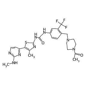 CNc1nccc(-c2sc(NC(=O)Nc3ccc(CN4CCN(C(C)=O)CC4)c(C(F)(F)F)c3)nc2C)n1